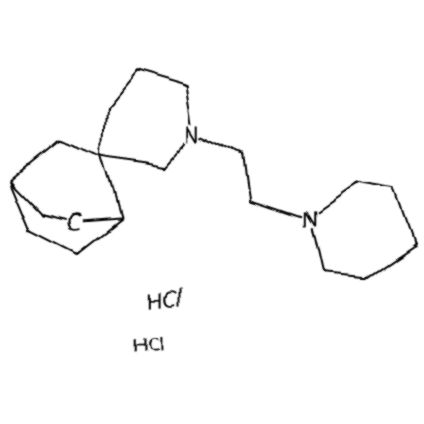 C1CCN(CCN2CCCC3(CC4CCC3CC4)C2)CC1.Cl.Cl